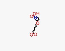 COC(=O)CCCCCO[C@@H]1CCN(C(=O)O)C1